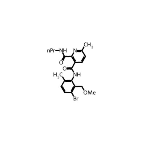 CCCNC(=O)c1nc(C)ccc1C(=O)Nc1c(C)ccc(Br)c1COC